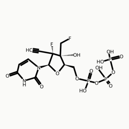 C#C[C@]1(F)[C@H](n2ccc(=O)[nH]c2=O)O[C@H](COP(=O)(O)OP(=O)(O)OP(=O)(O)O)[C@]1(O)CF